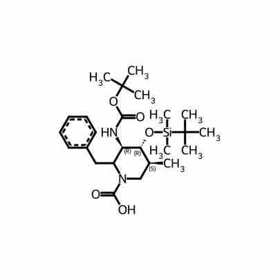 C[C@H]1CN(C(=O)O)C(Cc2ccccc2)[C@@H](NC(=O)OC(C)(C)C)[C@@H]1O[Si](C)(C)C(C)(C)C